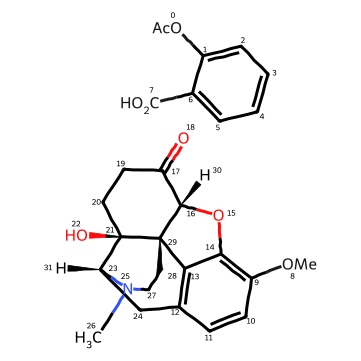 CC(=O)Oc1ccccc1C(=O)O.COc1ccc2c3c1O[C@H]1C(=O)CC[C@@]4(O)[C@@H](C2)N(C)CC[C@]314